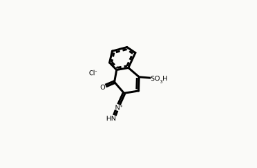 N=[N+]=C1C=C(S(=O)(=O)O)c2ccccc2C1=O.[Cl-]